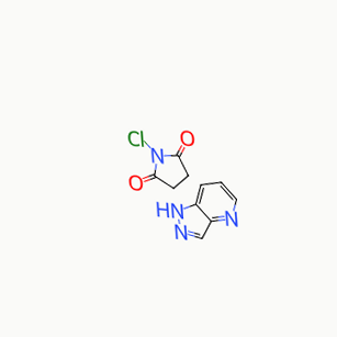 O=C1CCC(=O)N1Cl.c1cnc2cn[nH]c2c1